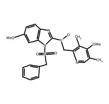 COc1ccc2nc([S+]([O-])Cc3ncc(C)c(OC)c3C)n(S(=O)(=O)Cc3ccccc3)c2c1